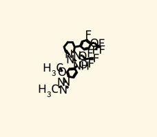 COc1cc(NC2=NN3CCCCC(c4ccc(OC(F)(F)F)c(F)c4)C3N2OC(=O)C(F)(F)F)ccc1-n1cnc(C)n1